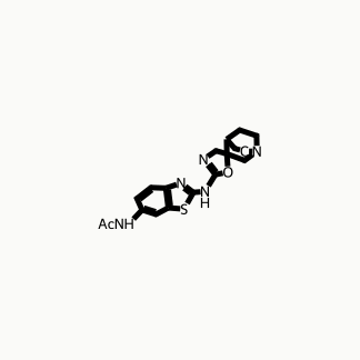 CC(=O)Nc1ccc2nc(NC3=NCC4(CN5CCC4CC5)O3)sc2c1